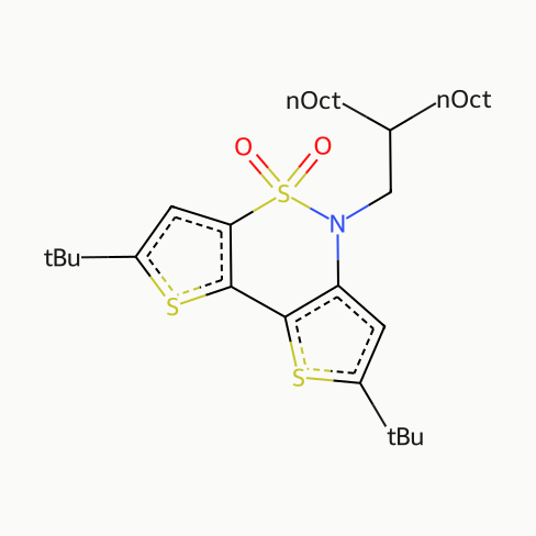 CCCCCCCCC(CCCCCCCC)CN1c2cc(C(C)(C)C)sc2-c2sc(C(C)(C)C)cc2S1(=O)=O